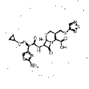 Nc1nc(/C(=N\OC2CC2)C(=O)N[C@@H]2C(=O)N3C(C(=O)O)=C(CSc4cnsn4)CS[C@H]23)cs1